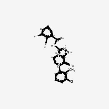 Cc1c(Cl)cccc1-n1ccn2c(SC(F)c3cccc(F)c3F)nnc2c1=O